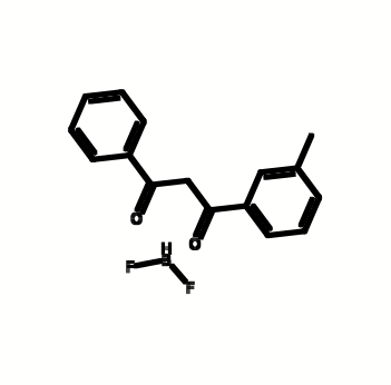 Cc1cccc(C(=O)CC(=O)c2ccccc2)c1.FBF